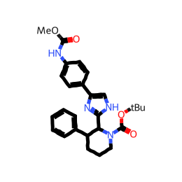 COC(=O)Nc1ccc(-c2c[nH]c(C3C(c4ccccc4)CCCN3C(=O)OC(C)(C)C)n2)cc1